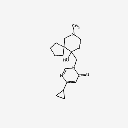 CN1CCC(O)(Cn2cnc(C3CC3)cc2=O)C2(CCCC2)C1